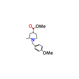 COC(=O)C1CCN(Cc2ccc(OC)cc2)C(C)C1